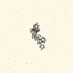 O=C(O)Cc1nc(NC(=O)Nc2cccnc2C(=O)C2CCCC2)sc1S(=O)(=O)c1ccccn1